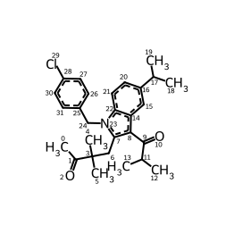 CC(=O)C(C)(C)Cc1c(C(=O)C(C)C)c2cc(C(C)C)ccc2n1Cc1ccc(Cl)cc1